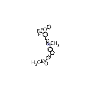 CCOC(=O)C1CN(C2CCc3cc(/C(C)=N/OCc4ccc(OC5CCCC5)c(C(F)(F)F)c4)ccc32)C1